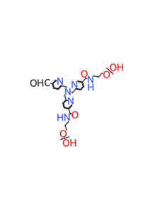 CC(C)(O)OCCCNC(=O)c1ccc(CN(Cc2ccc(C=O)cn2)Cc2ccc(C(=O)NCCCOC(C)(C)O)cn2)nc1